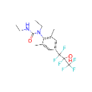 CCNC(=O)N(CC)c1c(C)cc(C(F)(F)C(O)(F)C(F)(F)F)cc1C